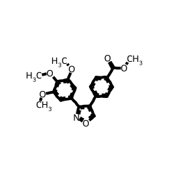 COC(=O)c1ccc(-c2conc2-c2cc(OC)c(OC)c(OC)c2)cc1